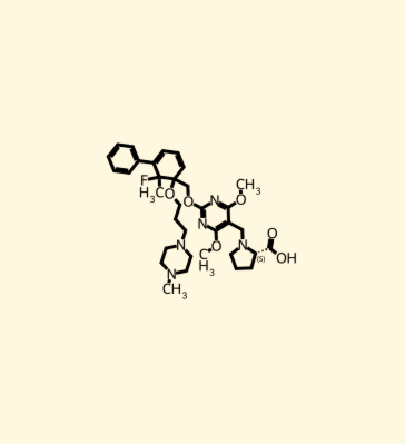 COc1nc(OCC2(OCCCN3CCN(C)CC3)C=CC=C(c3ccccc3)C2(C)F)nc(OC)c1CN1CCC[C@H]1C(=O)O